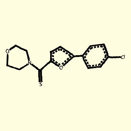 S=C(c1ccc(-c2ccc(Cl)cc2)o1)N1CCOCC1